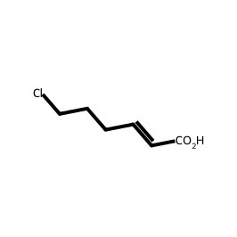 O=C(O)C=CCCCCl